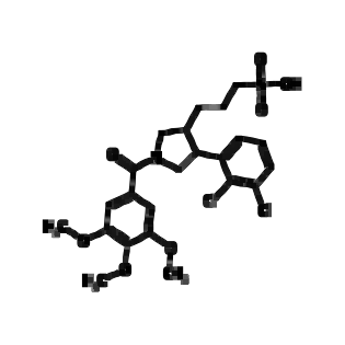 COc1cc(C(=O)N2CC(CCCS(=O)(=O)O)C(c3cccc(Cl)c3Cl)C2)cc(OC)c1OC